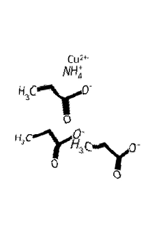 CCC(=O)[O-].CCC(=O)[O-].CCC(=O)[O-].[Cu+2].[NH4+]